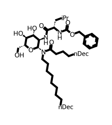 CCCCCCCCCCCCCCCCCCN(C(=O)CCCCCCCCCCCCC)[C@@H]1O[C@H](CO)[C@@H](O)[C@H](O)[C@H]1NC(=O)[C@H](CC(C)C)NC(=O)OCc1ccccc1